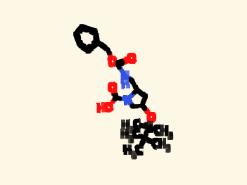 CC(C)(C)[Si](C)(C)OC1CC(CNC(=O)OCc2ccccc2)N(C(=O)O)C1